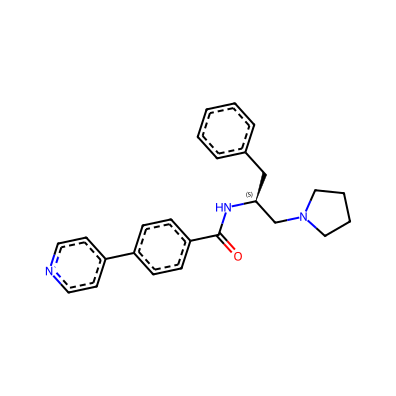 O=C(N[C@@H](Cc1ccccc1)CN1CCCC1)c1ccc(-c2ccncc2)cc1